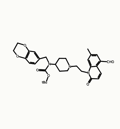 Cc1cc(C=O)c2ccc(=O)n(CCN3CCC(N(Cc4ccc5c(c4)OCCO5)C(=O)OC(C)(C)C)CC3)c2c1